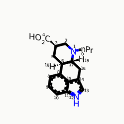 CCCN1C[C@H](C(=O)O)C[C@@H]2c3cccc4[nH]cc(c34)C[C@H]21